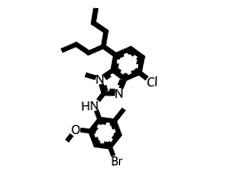 CCCC(CCC)c1ccc(Cl)c2nc(Nc3c(C)cc(Br)cc3OC)n(C)c12